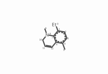 CCc1ccc(C)c2c1N(C)CC=C2